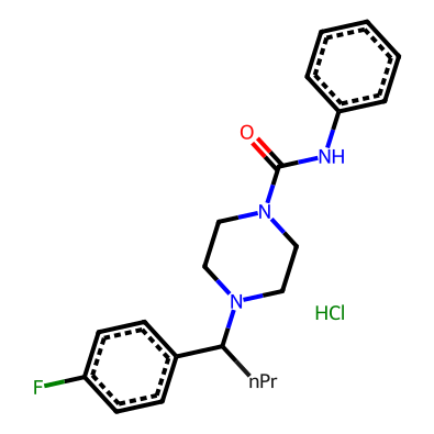 CCCC(c1ccc(F)cc1)N1CCN(C(=O)Nc2ccccc2)CC1.Cl